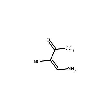 N#CC(=CN)C(=O)C(Cl)(Cl)Cl